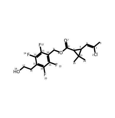 CC(Cl)=CC1C(C(=O)OCc2c(F)c(F)c(CCO)c(F)c2F)C1(C)C